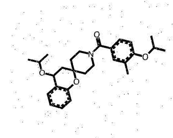 Cc1cc(C(=O)N2CCC3(CC2)CC(OC(C)C)c2ccccc2O3)ccc1OC(C)C